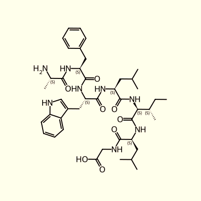 CC[C@H](C)[C@H](NC(=O)[C@H](CC(C)C)NC(=O)[C@H](Cc1c[nH]c2ccccc12)NC(=O)[C@H](Cc1ccccc1)NC(=O)[C@H](C)N)C(=O)N[C@@H](CC(C)C)C(=O)NCC(=O)O